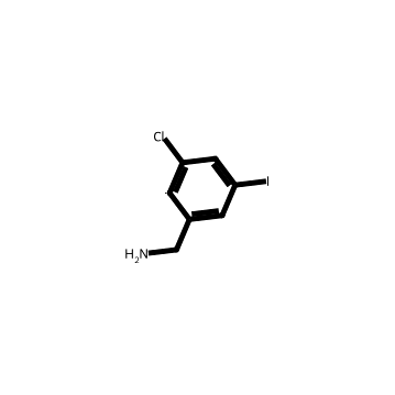 NCc1[c]c(Cl)cc(I)c1